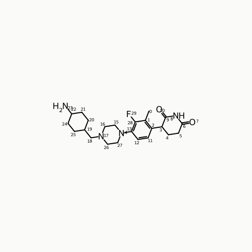 Cc1c(C2CCC(=O)NC2=O)ccc(N2CCN(CC3CCC(N)CC3)CC2)c1F